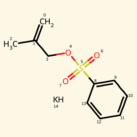 C=C(C)COS(=O)(=O)c1ccccc1.[KH]